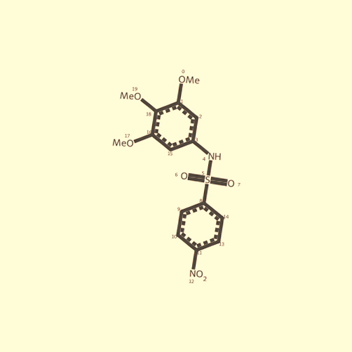 COc1cc(NS(=O)(=O)c2ccc([N+](=O)[O-])cc2)cc(OC)c1OC